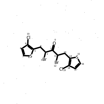 O=C(C(Br)Cc1sccc1Cl)C(Br)Cc1sccc1Cl